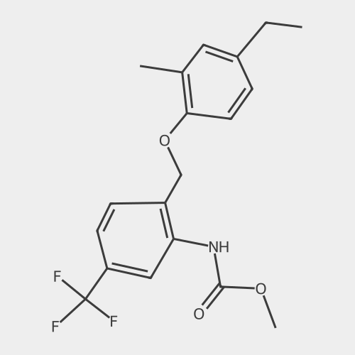 CCc1ccc(OCc2ccc(C(F)(F)F)cc2NC(=O)OC)c(C)c1